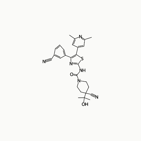 Cc1cc(-c2sc(NC(=O)N3CCC(C#N)(C(C)(C)O)CC3)nc2-c2cccc(C#N)c2)cc(C)n1